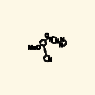 COc1ccc(C(=O)N2CCN(c3ncccn3)CC2)cc1C#Cc1cccnc1